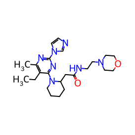 CCc1c(C)nc(-n2ccnc2)nc1N1CCCCC1CC(=O)NCCN1CCOCC1